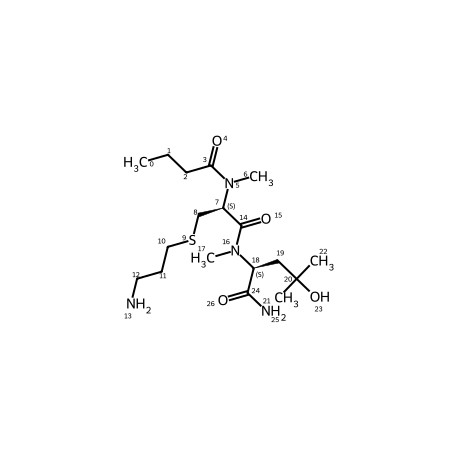 CCCC(=O)N(C)[C@H](CSCCCN)C(=O)N(C)[C@@H](CC(C)(C)O)C(N)=O